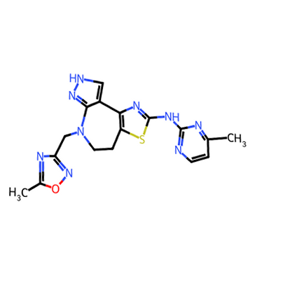 Cc1ccnc(Nc2nc3c(s2)CCN(Cc2noc(C)n2)c2n[nH]cc2-3)n1